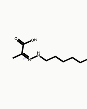 CCCCCCN/N=C(/C)C(=O)O